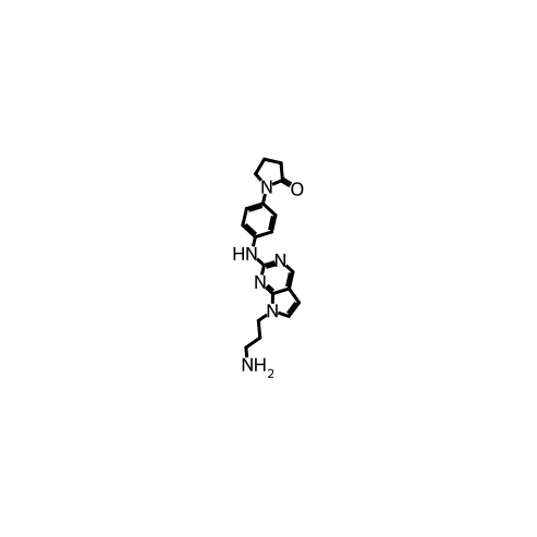 NCCCn1ccc2cnc(Nc3ccc(N4CCCC4=O)cc3)nc21